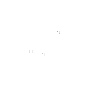 Cc1cc2ccn(C)cc-2[n+]1N